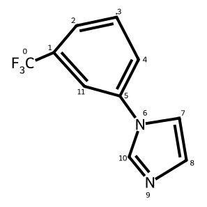 FC(F)(F)c1c[c]cc(-n2ccnc2)c1